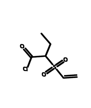 C=CS(=O)(=O)C(CC)C(=O)Cl